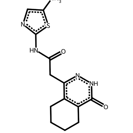 Cc1cnc(NC(=O)Cc2n[nH]c(=O)c3c2CCCC3)s1